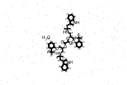 CC(C)(Cc1c[nH]c2ccccc12)NCC(COc1ccccc1C(F)(F)F)OC(=O)C(=O)OC(CNC(C)(C)Cc1c[nH]c2ccccc12)COc1ccccc1C(F)(F)F.O